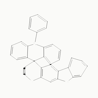 c1ccc(N2c3ccccc3C3(c4ccccc4Sc4cc5oc6ccccc6c5cc43)c3ccccc32)cc1